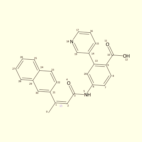 C/C(=C/C(=O)Nc1ccc(C(=O)O)c(-c2cccnc2)c1)c1ccc2ccccc2c1